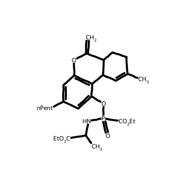 C=C1Oc2cc(CCCCC)cc(OP(=O)(NC(C)C(=O)OCC)C(=O)OCC)c2C2C=C(C)CCC12